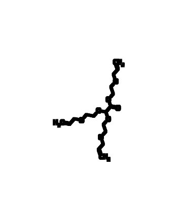 C=CCOCCOC(=O)C(OCCOCC=C)OCCOCC=C